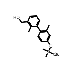 Cc1cc(O[Si](C)(C)C(C)(C)C)ccc1-c1cccc(CO)c1C